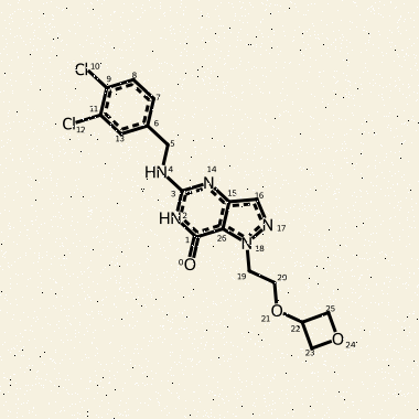 O=c1[nH]c(NCc2ccc(Cl)c(Cl)c2)nc2cnn(CCOC3COC3)c12